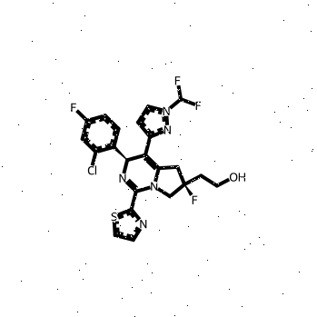 OCC[C@@]1(F)CC2=C(c3ccn(C(F)F)n3)[C@H](c3ccc(F)cc3Cl)N=C(c3nccs3)N2C1